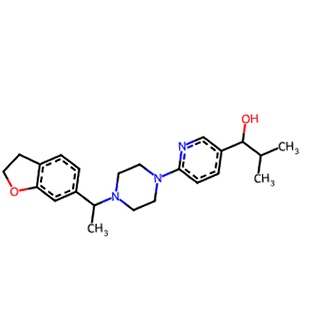 CC(C)C(O)c1ccc(N2CCN(C(C)c3ccc4c(c3)OCC4)CC2)nc1